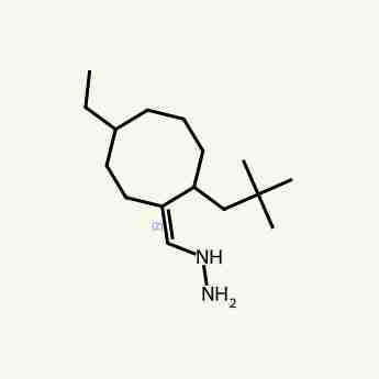 CCC1CCCC(CC(C)(C)C)/C(=C\NN)CC1